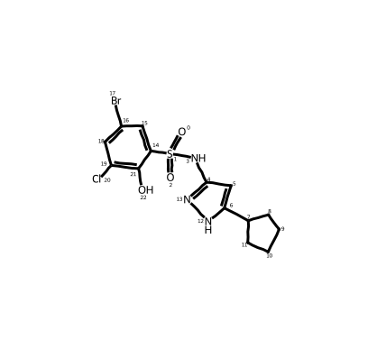 O=S(=O)(Nc1cc(C2CCCC2)[nH]n1)c1cc(Br)cc(Cl)c1O